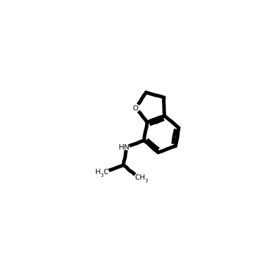 CC(C)Nc1cccc2c1OCC2